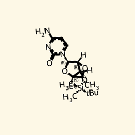 CC[C@]12O[C@@H](n3ccc(N)nc3=O)[C@H](O[C@@H]1C)[C@@H]2O[Si](C)(C)C(C)(C)C